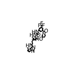 O=C(Nc1cc(C(=O)N2CC[C@H](O)C2)cc(C(F)(F)F)c1)Nc1ncc(CCNc2ncnc3ccsc23)s1